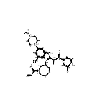 C=CC(=O)N1CCCCC(n2c(NC(=O)c3ccnc(C)c3)nc3cc(N4CCN(C(C)=O)CC4)cc(Cl)c32)C1